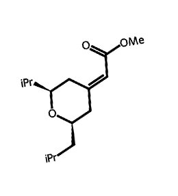 COC(=O)/C=C1/C[C@@H](CC(C)C)O[C@@H](C(C)C)C1